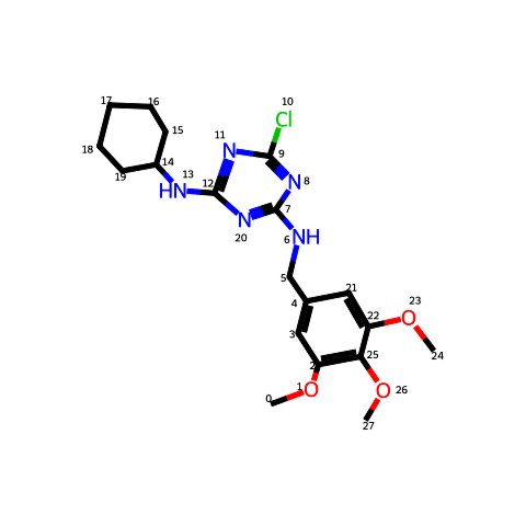 COc1cc(CNc2nc(Cl)nc(NC3CCCCC3)n2)cc(OC)c1OC